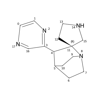 c1cnc(C2C3CCN(CC3)[C@]23CCNC3)cn1